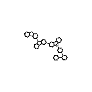 c1ccc(-c2ccccc2-c2ccc(-n3c4ccccc4c4cc(-c5ccc6c(c5)c5ccccc5n6-c5ccc6c(c5)-c5ccccc5C6)ccc43)cc2)cc1